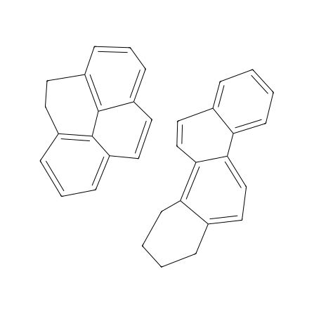 c1cc2c3c(c1)ccc1cccc(c13)CC2.c1ccc2c(c1)ccc1c3c(ccc12)CCCC3